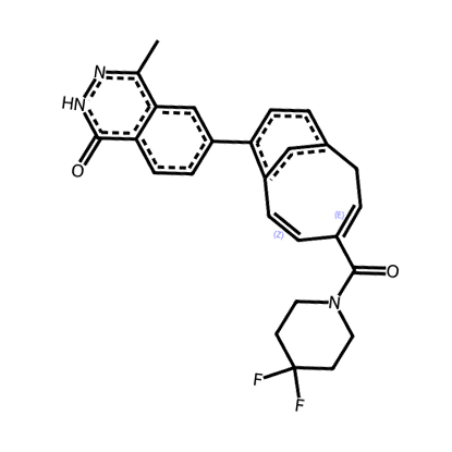 Cc1n[nH]c(=O)c2ccc(-c3ccc4cc3/C=C\C(C(=O)N3CCC(F)(F)CC3)=C/C4)cc12